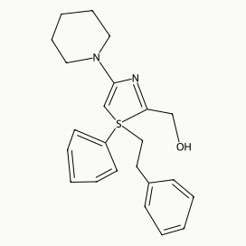 OCC1=NC(N2CCCCC2)=CS1(CCc1ccccc1)c1ccccc1